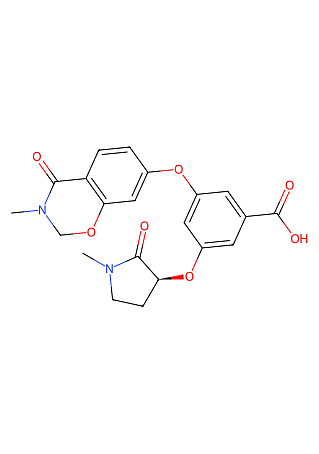 CN1COc2cc(Oc3cc(O[C@H]4CCN(C)C4=O)cc(C(=O)O)c3)ccc2C1=O